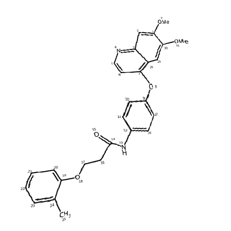 COc1cc2nccc(Oc3ccc(NC(=O)CCOc4ccccc4C)cc3)c2cc1OC